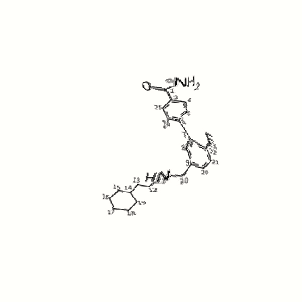 NC(=O)c1ccc(-c2cc(CNCCC3CCCCC3)ccc2F)cc1